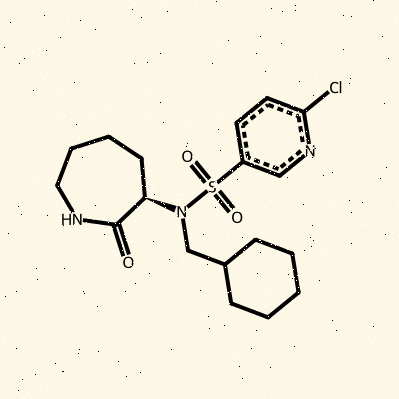 O=C1NCCCC[C@H]1N(CC1CCCCC1)S(=O)(=O)c1ccc(Cl)nc1